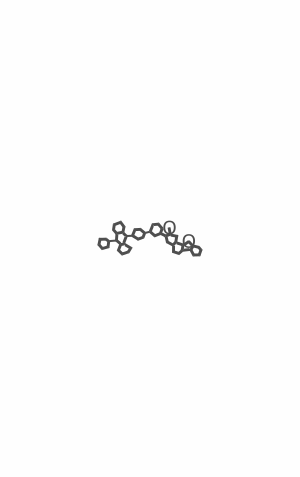 c1ccc(-c2c3ccccc3c(-c3ccc(-c4ccc5oc6cc7c(ccc8c9ccccc9oc78)cc6c5c4)cc3)c3ccccc23)cc1